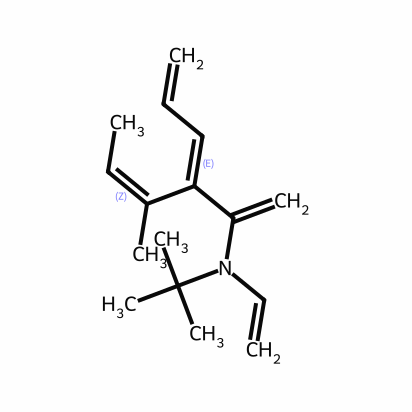 C=C/C=C(C(=C)N(C=C)C(C)(C)C)\C(C)=C/C